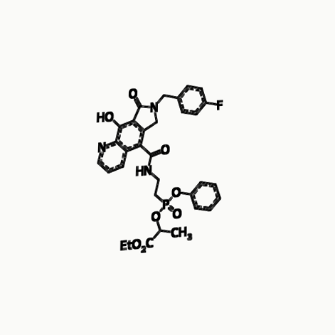 CCOC(=O)C(C)OP(=O)(CCNC(=O)c1c2c(c(O)c3ncccc13)C(=O)N(Cc1ccc(F)cc1)C2)Oc1ccccc1